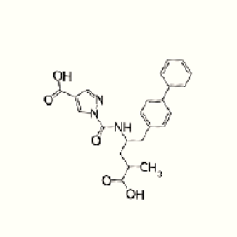 CC(CC(Cc1ccc(-c2ccccc2)cc1)NC(=O)n1cc(C(=O)O)cn1)C(=O)O